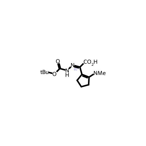 CNC1=C(/C(=N\NC(=O)OC(C)(C)C)C(=O)O)CCC1